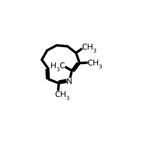 CC1=N/C(C)=C(\C)C(C)CCCC\C=C\1